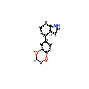 c1cc(-c2ccc3c(c2)OCCO3)c2cc[nH]c2c1